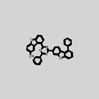 N#Cc1ccc2oc3cccc(-c4nc(-c5ccccc5)nc(-c5ccc6c(c5)oc5cccc(-c7ccccc7)c56)n4)c3c2c1